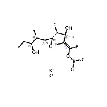 CC[C@H](O)[C@@H](C)[C@H]1O[C@H]1C(F)[C@@](C)(O)/C(F)=C(\F)OB([O-])[O-].[K+].[K+]